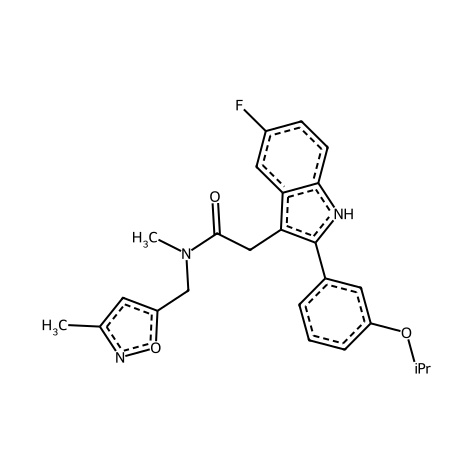 Cc1cc(CN(C)C(=O)Cc2c(-c3cccc(OC(C)C)c3)[nH]c3ccc(F)cc23)on1